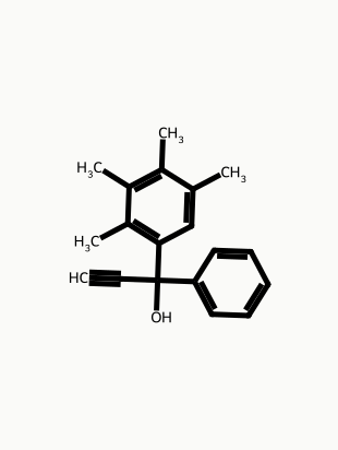 C#CC(O)(c1ccccc1)c1cc(C)c(C)c(C)c1C